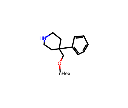 CCCCCCOCC1(c2ccccc2)CCNCC1